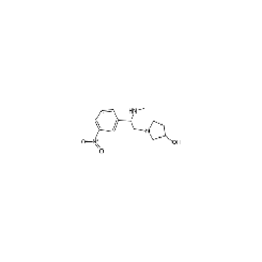 CNC(CN1CCC(O)C1)c1cccc([N+](=O)[O-])c1